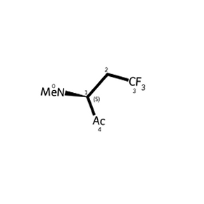 CN[C@@H](CC(F)(F)F)C(C)=O